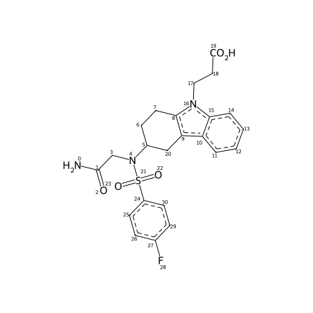 NC(=O)CN(C1CCc2c(c3ccccc3n2CCC(=O)O)C1)S(=O)(=O)c1ccc(F)cc1